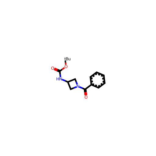 CC(C)(C)OC(=O)NC1CN(C(=O)c2ccccc2)C1